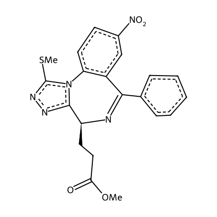 COC(=O)CC[C@@H]1N=C(c2ccccc2)c2cc([N+](=O)[O-])ccc2-n2c(SC)nnc21